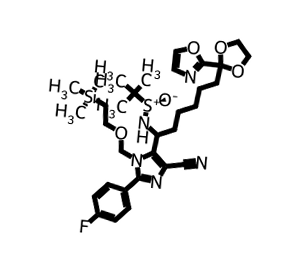 CC(C)(C)[S@@+]([O-])NC(CCCCCC1(c2ncco2)OCCO1)c1c(C#N)nc(-c2ccc(F)cc2)n1COCC[Si](C)(C)C